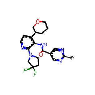 CC(C)c1ncc(C(=O)Nc2c(C3CCCOC3)ccnc2N2CCC(F)(F)C2)cn1